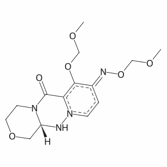 COCO/N=c1\ccn2c(c1OCOC)C(=O)N1CCOC[C@H]1N2